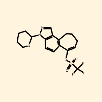 O=S(=O)(OC1=CCCCc2c1ccc1c2cnn1C1CCCCO1)C(F)(F)F